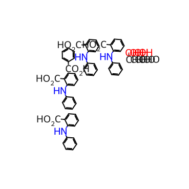 O=C(O)c1ccccc1.O=C(O)c1ccccc1Nc1ccccc1.O=C(O)c1ccccc1Nc1ccccc1.O=C(O)c1ccccc1Nc1ccccc1.O=C(O)c1ccccc1Nc1ccccc1.O=CO.O=CO.O=CO.O=CO